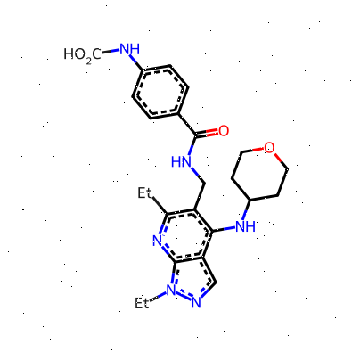 CCc1nc2c(cnn2CC)c(NC2CCOCC2)c1CNC(=O)c1ccc(NC(=O)O)cc1